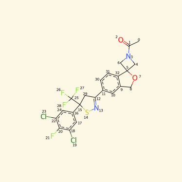 CC(=O)N1CC2(C1)OCc1cc(C3=NSC(c4cc(Cl)c(F)c(Cl)c4)(C(F)(F)F)C3)ccc12